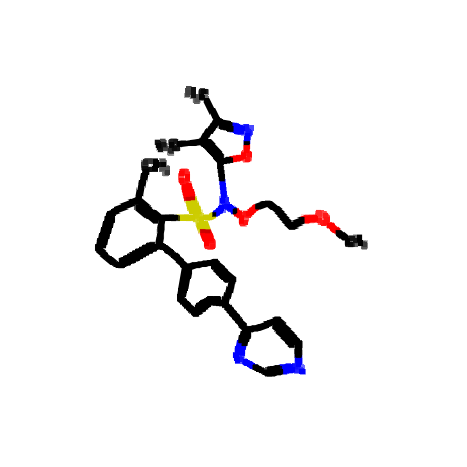 COCCON(c1onc(C)c1C)S(=O)(=O)c1c(C)cccc1-c1ccc(-c2ccncn2)cc1